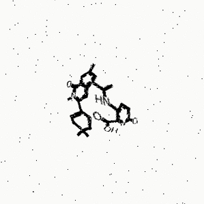 Cc1cc(C(C)Nc2ccc(Cl)nc2C(=O)O)c2cc(C3=CCC(C)(C)CC3)n(C)c(=O)c2c1